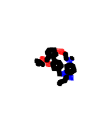 CCCc1nc2ccc(N(C)CCO)cc2n1Cc1ccc(-c2ccccc2C(=O)OC(C)(C)C)cc1